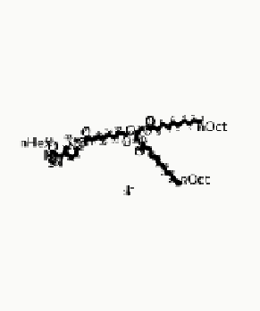 CCCCCCCC/C=C\CCCCCCCC(=O)OCC(COC(=O)CCCCCCC/C=C\CCCCCCCC)OC(=O)CCCCCCC(=O)OC[N+]1(C)CCC=C(c2nsnc2OCCCCCC)C1.[I-]